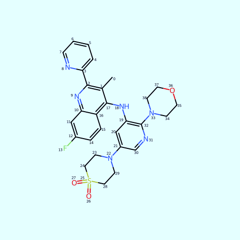 Cc1c(-c2ccccn2)nc2cc(F)ccc2c1Nc1cc(N2CCS(=O)(=O)CC2)cnc1N1CCOCC1